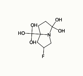 OC1(O)CCC2(C(O)(O)O)CC(F)CN12